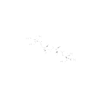 C[N+](C)(C)CCS(=O)(=O)CCS(=O)(=O)CC[N+](C)(C)C